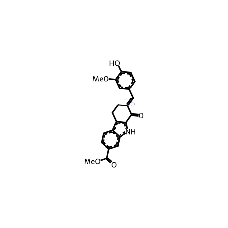 COC(=O)c1ccc2c3c([nH]c2c1)C(=O)/C(=C/c1ccc(O)c(OC)c1)CC3